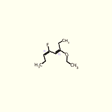 CC/C=C(F)\C=C(/CC)OCC